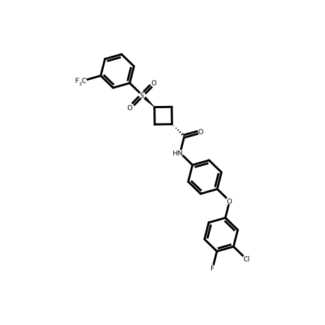 O=C(Nc1ccc(Oc2ccc(F)c(Cl)c2)cc1)[C@H]1C[C@H](S(=O)(=O)c2cccc(C(F)(F)F)c2)C1